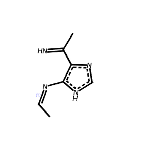 C/C=N\c1[nH]cnc1C(C)=N